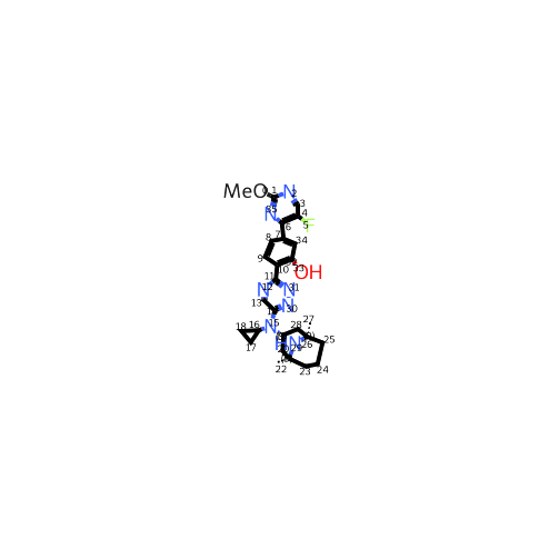 COc1ncc(F)c(-c2ccc(-c3ncc(N(C4CC4)[C@H]4C[C@]5(C)CCC[C@](C)(C4)N5)nn3)c(O)c2)n1